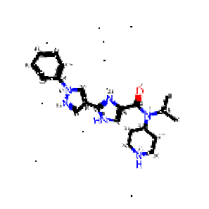 CC(C)N(C(=O)c1c[nH]c(-c2cnn(-c3ccccc3)c2)n1)C1CCNCC1